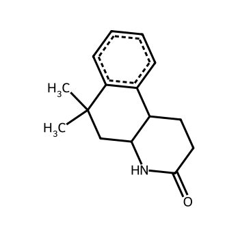 CC1(C)CC2NC(=O)CCC2c2ccccc21